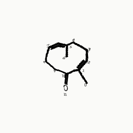 C/C1=C/CC/C(C)=C/CCC1=O